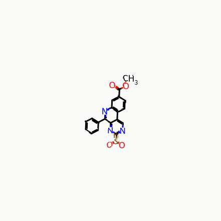 COC(=O)c1ccc2c(c1)nc(-c1ccccc1)c1nc([SH](=O)=O)ncc12